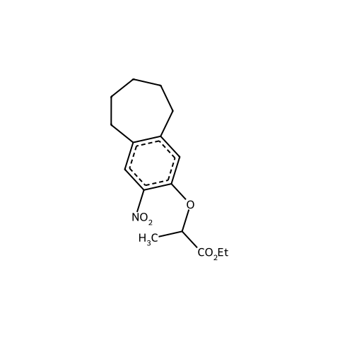 CCOC(=O)C(C)Oc1cc2c(cc1[N+](=O)[O-])CCCCC2